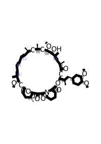 CO[C@H]1C[C@@H]2CC[C@@H](C)[C@@](O)(O2)C(=O)C(=O)N2CCCC[C@H]2C(=O)O[C@H]([C@H](C)C[C@@H]2CC[C@@H](OC)[C@H](OC)C2)CC(=O)[C@H](C)/C=C(\C)[C@@H](O)[C@@H](OC)C[C@H](C)C[C@H](C)/C=C/C=C/C=C/1C